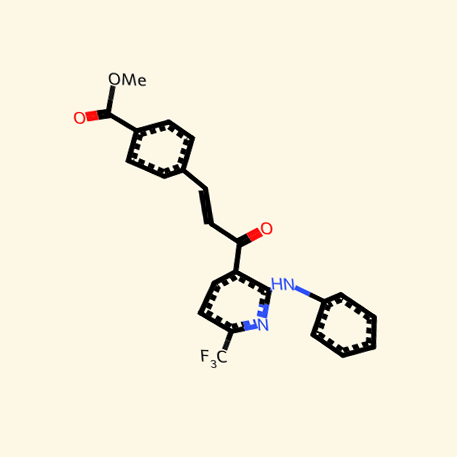 COC(=O)c1ccc(C=CC(=O)c2ccc(C(F)(F)F)nc2Nc2ccccc2)cc1